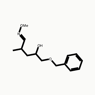 CON=CC(C)CC(O)COCc1ccccc1